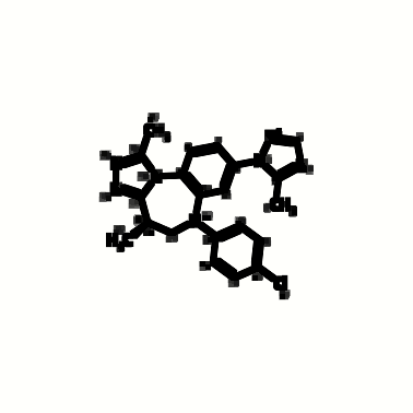 Cc1ncnn1-c1ccc2c(c1)N(c1ccc(Cl)cc1)C[C@@H](C)c1nnc(C)n1-2